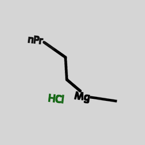 CCCC[CH2][Mg][CH3].Cl